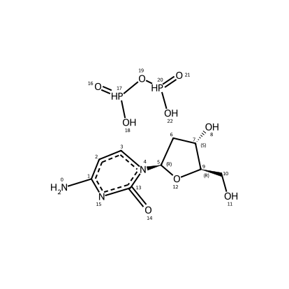 Nc1ccn([C@H]2C[C@H](O)[C@@H](CO)O2)c(=O)n1.O=[PH](O)O[PH](=O)O